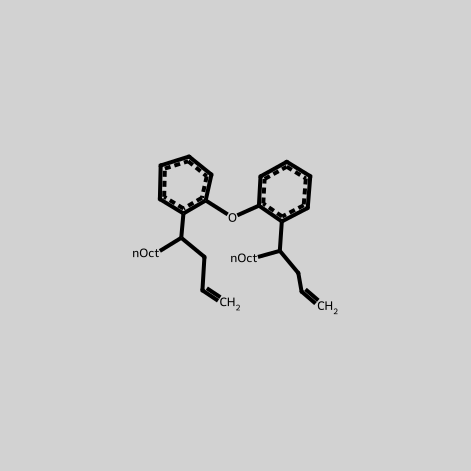 C=CCC(CCCCCCCC)c1ccccc1Oc1ccccc1C(CC=C)CCCCCCCC